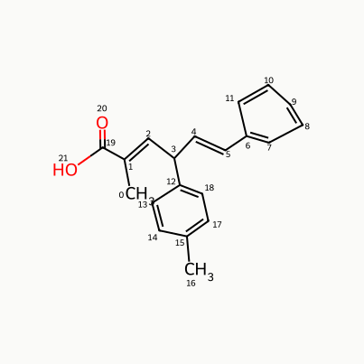 CC(=CC(C=Cc1ccccc1)c1ccc(C)cc1)C(=O)O